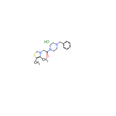 CC1=C(C)N(CC(=O)N2CCN(Cc3ccccc3)CC2)CS1.Cl